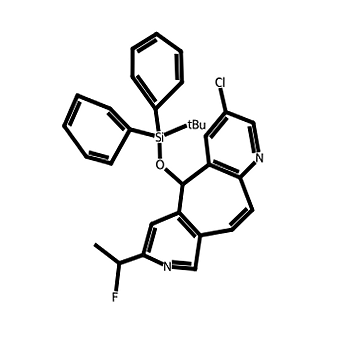 CC(F)c1cc2c(cn1)C=Cc1ncc(Cl)cc1C2O[Si](c1ccccc1)(c1ccccc1)C(C)(C)C